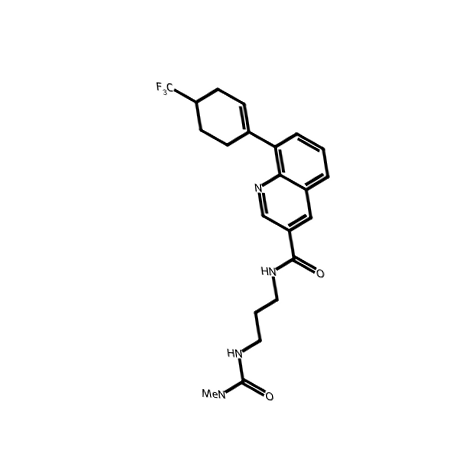 CNC(=O)NCCCNC(=O)c1cnc2c(C3=CCC(C(F)(F)F)CC3)cccc2c1